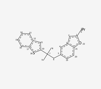 CC(C)c1cc2cc(CC(C)(C)c3cc4ccccc4s3)ccc2o1